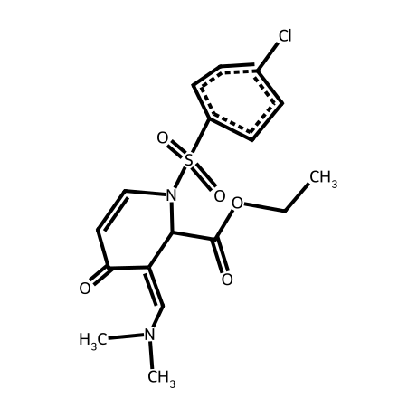 CCOC(=O)C1C(=CN(C)C)C(=O)C=CN1S(=O)(=O)c1ccc(Cl)cc1